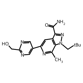 Cc1nc(-c2cnc(CO)nc2)cc2c(C(N)=O)nn(CC(C)(C)C)c12